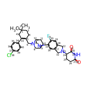 CC1(C)CCC(CN2CC3CCC2CN3c2cc3c(cc2F)CN(C2CCC(=O)NC2=O)C3)=C(c2ccc(Cl)cc2)C1